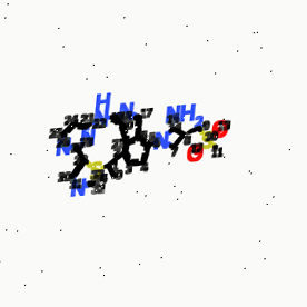 CC1c2ccc(N3C[C@H](CS(C)(=O)=O)[C@H]3N)c3cnc(cc23)Nc2ccnc(n2)C2=CN=CS21C